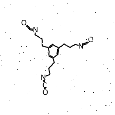 O=C=NCCCc1cc(CCCN=C=O)cc(CCCN=C=O)c1